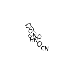 N#Cc1ccc(NC(=O)N(Cc2cc3ccccc3o2)C2CCC2)cc1